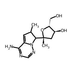 CC1C=C2C(N)=NC=NN2C1[C@@]1(C)C[C@H](O)[C@@H](CO)O1